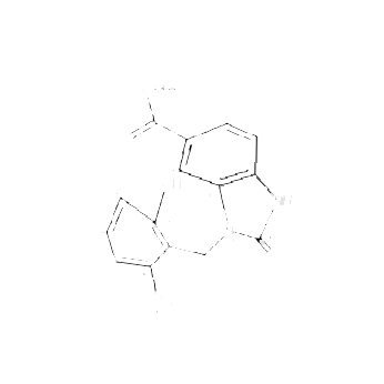 COC(=O)c1ccc2[nH]c(=O)n(Cc3c(C)cccc3C)c2c1